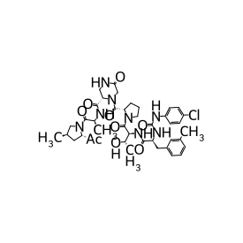 CC(=O)[C@@H]1C[C@@H](C)CN1C(=O)[C@H](C)NC(=O)[C@@H]1CNC(=O)CN1C(=O)[C@@H]1CCCN1C(=O)[C@@H](NC(=O)[C@H](Cc1cccc(C)c1)NC(=O)Nc1ccc(Cl)cc1)[C@H](C)O